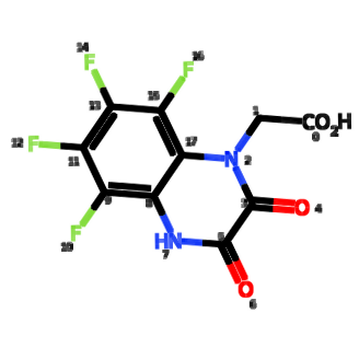 O=C(O)Cn1c(=O)c(=O)[nH]c2c(F)c(F)c(F)c(F)c21